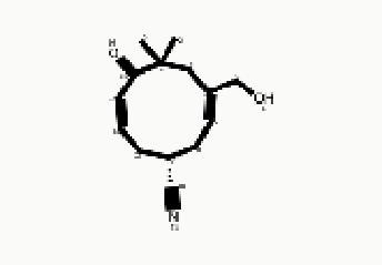 CC1(C)C/C(CO)=C\C[C@H](C#N)C/C=C\C1=O